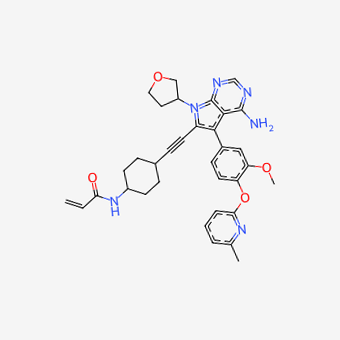 C=CC(=O)NC1CCC(C#Cc2c(-c3ccc(Oc4cccc(C)n4)c(OC)c3)c3c(N)ncnc3n2C2CCOC2)CC1